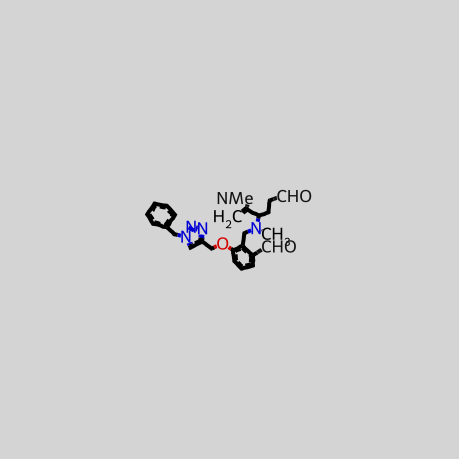 C=C(NC)C(CCC=O)N(C)Cc1c(C=O)cccc1OCc1cn(Cc2ccccc2)nn1